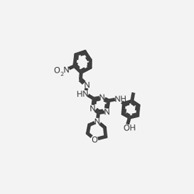 Cc1ccc(O)cc1Nc1nc(NN=Cc2ccccc2[N+](=O)[O-])nc(N2CCOCC2)n1